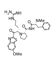 CN[C@H](Cc1ccccc1)C(=O)NC(=O)[C@@H]1CCCN1[C@@H](CCCNC(=N)N)C(=O)c1nc2ccc(OC)cc2s1